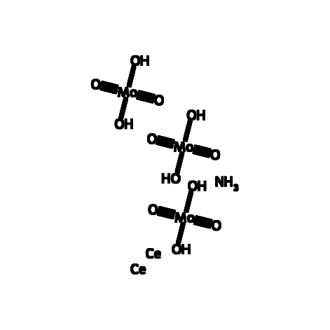 N.[Ce].[Ce].[O]=[Mo](=[O])([OH])[OH].[O]=[Mo](=[O])([OH])[OH].[O]=[Mo](=[O])([OH])[OH]